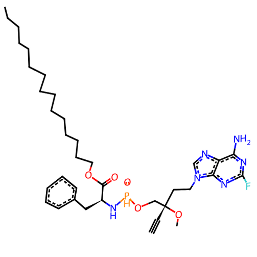 C#C[C@](CCn1cnc2c(N)nc(F)nc21)(CO[PH](=O)N[C@@H](Cc1ccccc1)C(=O)OCCCCCCCCCCCCCCC)OC